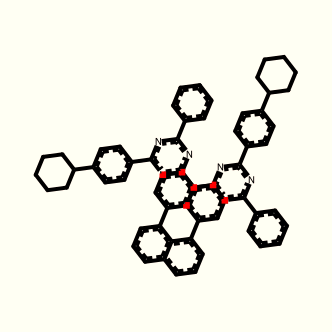 c1ccc(-c2nc(-c3ccc(C4CCCCC4)cc3)nc(-c3cccc(-c4cccc5cccc(-c6cccc(-c7nc(-c8ccccc8)nc(-c8ccc(C9CCCCC9)cc8)n7)c6)c45)c3)n2)cc1